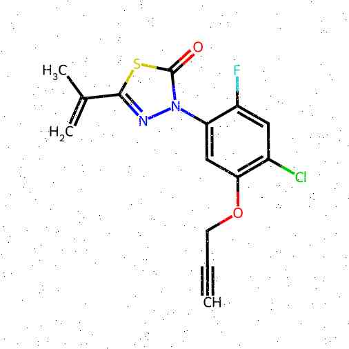 C#CCOc1cc(-n2nc(C(=C)C)sc2=O)c(F)cc1Cl